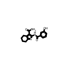 NC(=O)c1c(NC(=O)c2cccc(O)c2)sc2c1CCCC2